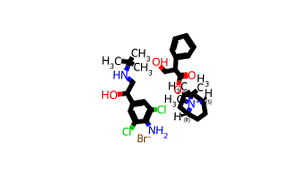 CC(C)(C)NCC(O)c1cc(Cl)c(N)c(Cl)c1.CC(C)[N+]1(C)[C@@H]2CC[C@H]1C[C@@H](OC(=O)C(CO)c1ccccc1)C2.[Br-]